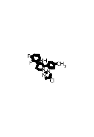 Cc1ccc(C2c3[nH]c4ccc(F)c(F)c4c3CCN2c2ncc(Cl)cn2)cc1